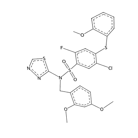 COc1ccc(CN(c2nncs2)S(=O)(=O)c2cc(Cl)c(Sc3ccccc3OC)cc2F)c(OC)c1